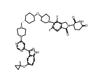 CC1(Oc2ccc3[nH]nc(-c4cc(N5CCN(C[C@H]6CC[C@H](OC7CCN(c8c(F)cc9c(c8F)CN(C8CCC(=O)NC8=O)C9=O)CC7)CC6)CC5)ncn4)c3c2)CC1